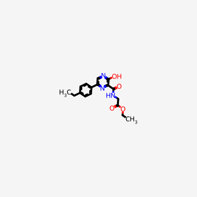 CCOC(=O)CNC(=O)c1nc(-c2ccc(CC)cc2)cnc1O